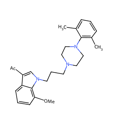 COc1cccc2c(C(C)=O)cn(CCCN3CCN(c4c(C)cccc4C)CC3)c12